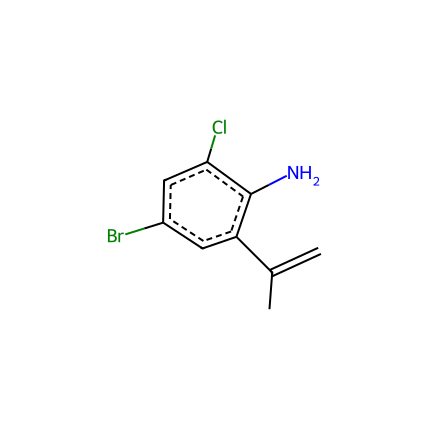 C=C(C)c1cc(Br)cc(Cl)c1N